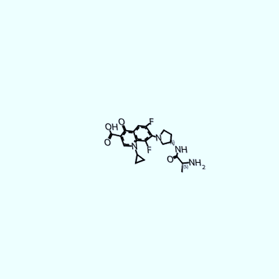 C[C@H](N)C(=O)N[C@H]1CCN(c2c(F)cc3c(=O)c(C(=O)O)cn(C4CC4)c3c2F)C1